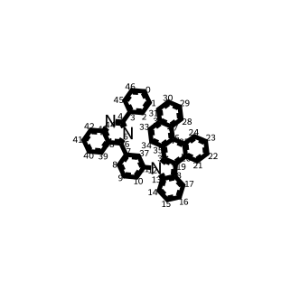 c1ccc(-c2nc(-c3cccc(-n4c5ccccc5c5c6ccccc6c6c7ccccc7ccc6c54)c3)c3ccccc3n2)cc1